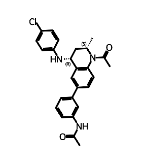 CC(=O)Nc1cccc(-c2ccc3c(c2)[C@H](Nc2ccc(Cl)cc2)C[C@H](C)N3C(C)=O)c1